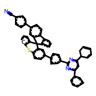 N#Cc1ccc(-c2ccc3c(c2)C2(c4ccccc4Sc4ccc(-c5ccc(-c6nc(-c7ccccc7)cc(C7C=CC=CC7)n6)cc5)cc42)c2ccccc2-3)cc1